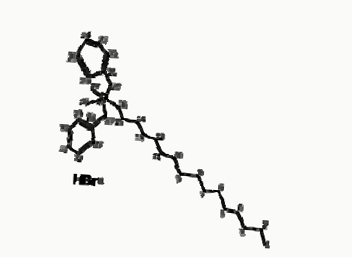 Br.CCCCCCCCCCCCCCCCP(C)(C)(Cc1ccccc1)Cc1ccccc1